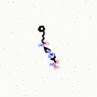 O=C(CCCCc1ccccc1)NC1C2CN(c3ncc(C(=O)NO)cn3)CC21